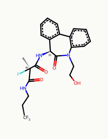 C[C@@](F)(C(=O)NCCC(F)(F)F)C(=O)N[C@@H]1C(=O)N(CCO)c2ccccc2-c2ccccc21